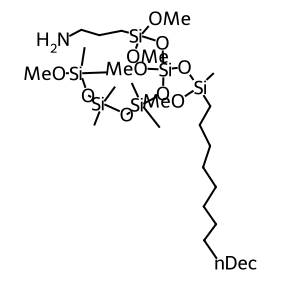 CCCCCCCCCCCCCCCCCC[Si](C)(OC)O[Si](OC)(O[Si](C)(C)O[Si](C)(C)O[Si](C)(C)OC)O[Si](CCCN)(OC)OC